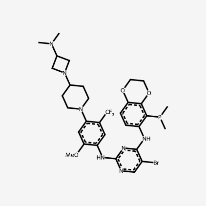 COc1cc(N2CCC(N3CC(N(C)C)C3)CC2)c(C(F)(F)F)cc1Nc1ncc(Br)c(Nc2ccc3c(c2P(C)C)OCCO3)n1